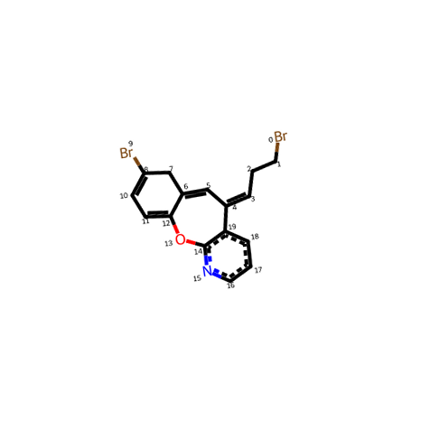 BrCCC=C1C=C2CC(Br)=CC=C2Oc2ncccc21